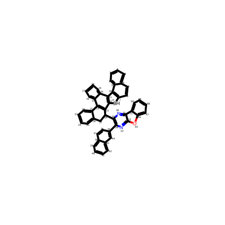 B1c2ccc3ccccc3c2-c2c1c1c(c3ccccc23)-c2ccccc2CC1c1nc2c(nc1-c1ccc3ccccc3c1)oc1ccccc12